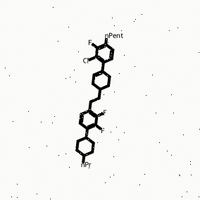 CCCCCc1ccc(C2=CCC(CCc3ccc(C4CCC(CCC)CC4)c(F)c3F)CC2)c(Cl)c1F